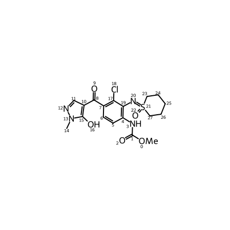 COC(=O)Nc1ccc(C(=O)c2cnn(C)c2O)c(Cl)c1N=S1(=O)CCCCC1